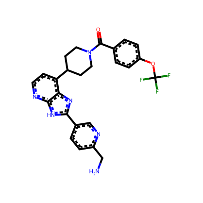 NCc1ccc(-c2nc3c(C4CCN(C(=O)c5ccc(OC(F)(F)F)cc5)CC4)ccnc3[nH]2)cn1